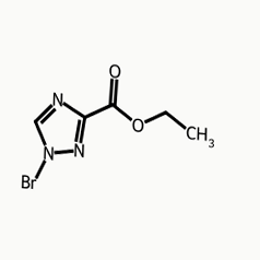 CCOC(=O)c1ncn(Br)n1